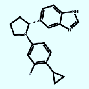 Fc1cc(N2CCC[C@@H]2c2ccc3[nH]cnc3c2)ccc1C1CC1